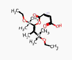 CCO[Si](C)(C)C(C)=C(OC(=O)/C=C\C(=O)O)[Si](C)(C)OCC